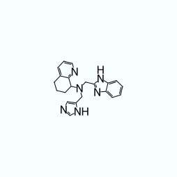 c1cnc2c(c1)CCCC2N(Cc1cnc[nH]1)Cc1nc2ccccc2[nH]1